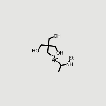 CCNC(C)O.OCC(CO)(CO)CO